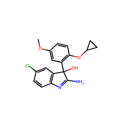 COc1ccc(OC2CC2)c(C2(O)C(N)=Nc3ccc(Cl)cc32)c1